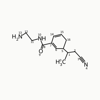 CC(CC#N)C1C=C(C(=O)NCCN)C=CC1